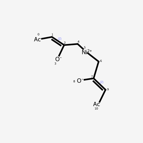 CC(=O)/C=C(\[O-])[CH2][Ni+2][CH2]/C([O-])=C/C(C)=O